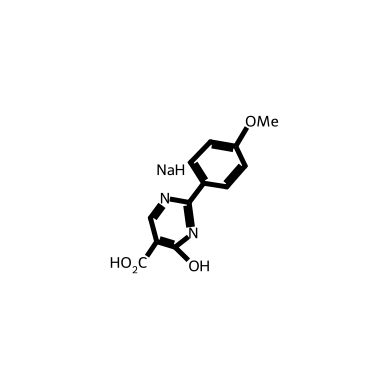 COc1ccc(-c2ncc(C(=O)O)c(O)n2)cc1.[NaH]